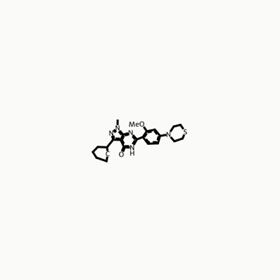 COc1cc(N2CCSCC2)ccc1-c1nc2c(c(C3CCCCC3)nn2C)c(=O)[nH]1